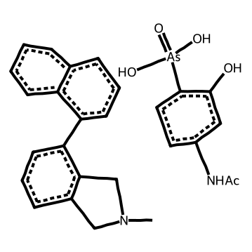 CC(=O)Nc1ccc([As](=O)(O)O)c(O)c1.CN1Cc2cccc(-c3cccc4ccccc34)c2C1